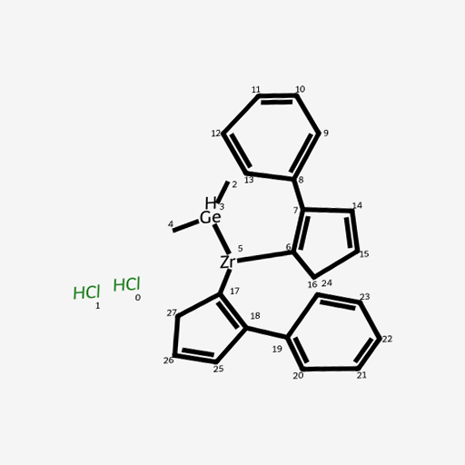 Cl.Cl.[CH3][GeH]([CH3])[Zr]([C]1=C(c2ccccc2)C=CC1)[C]1=C(c2ccccc2)C=CC1